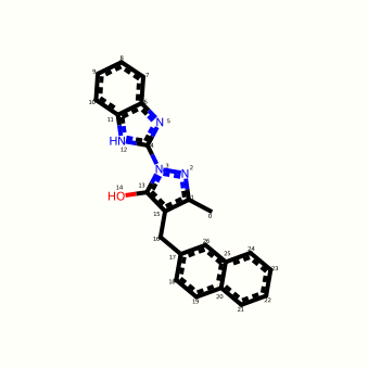 Cc1nn(-c2nc3ccccc3[nH]2)c(O)c1Cc1ccc2ccccc2c1